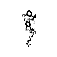 CS(C)(C)CCOCn1nnc(-c2cc(NC(=O)C3(c4cccc(Cl)c4)CC3)c(F)cc2Br)n1